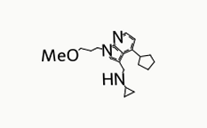 COCCCn1cc(CNC2CC2)c2c(C3CCCC3)ccnc21